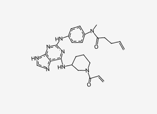 C=CCCC(=O)N(C)c1ccc(Nc2nc(NC3CCCN(C(=O)C=C)C3)c3nc[nH]c3n2)cc1